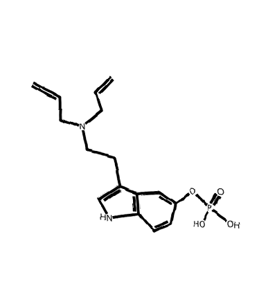 C=CCN(CC=C)CCc1c[nH]c2ccc(OP(=O)(O)O)cc12